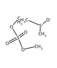 COS(=O)(=O)OC.C[S+](C)[O-]